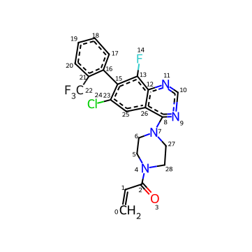 C=CC(=O)N1CCN(c2ncnc3c(F)c(-c4ccccc4C(F)(F)F)c(Cl)cc23)CC1